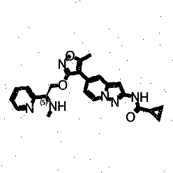 CN[C@H](COc1noc(C)c1-c1ccn2nc(NC(=O)C3CC3)cc2c1)c1ccccn1